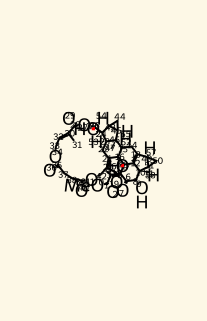 COC(=O)/C(C)=C1\C(=O)[C@H](O)[C@]2(C)C3=C(C[C@@H]4[C@]5(OC(=O)C6=C5C[C@H]5[C@](O)(COC(=O)/C(C)=C/COC(=O)CCC(=O)OC6)[C@H]6C[C@H]6[C@]45C)[C@H]31)[C@H]1C[C@H]12